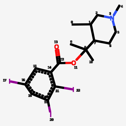 CC1CN(C)CCC1C(C)(C)OC(=O)c1cc(I)cc(I)c1I